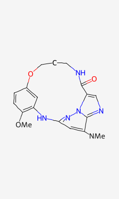 CNc1cc2nn3c(cnc13)C(=O)NCCCOc1ccc(OC)c(c1)N2